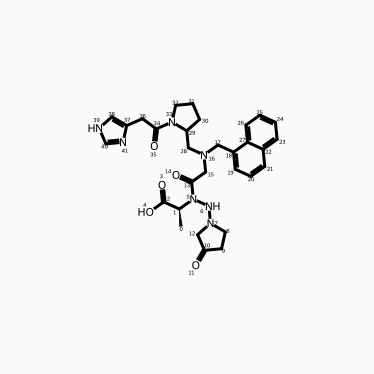 C[C@@H](C(=O)O)N(NN1CCC(=O)C1)C(=O)CN(Cc1cccc2ccccc12)CC1CCCN1C(=O)Cc1c[nH]cn1